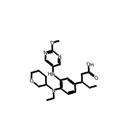 CCC(CC(=O)O)c1ccc(N(CC)C2CCCOC2)c(Nc2cnc(OC)nc2)c1